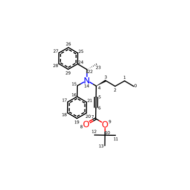 CCCC[C@@H](C#CC(=O)OC(C)(C)C)N(Cc1ccccc1)[C@@H](C)c1ccccc1